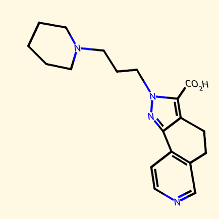 O=C(O)c1c2c(nn1CCCN1CCCCC1)-c1ccncc1CC2